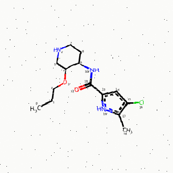 CCCO[C@H]1CNCC[C@H]1NC(=O)c1cc(Cl)c(C)[nH]1